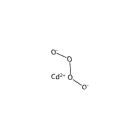 [Cd+2].[O-]OO[O-]